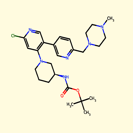 CN1CCN(Cc2ccc(-c3cnc(Cl)cc3N3CCC[C@H](NC(=O)OC(C)(C)C)C3)cn2)CC1